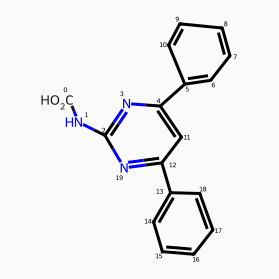 O=C(O)Nc1nc(-c2ccccc2)cc(-c2ccccc2)n1